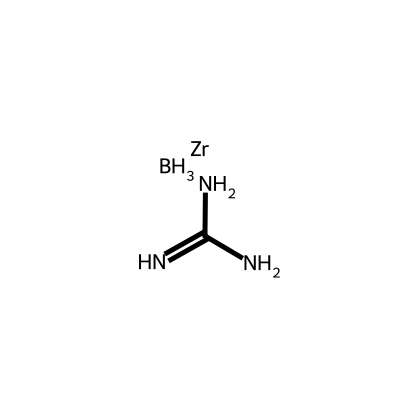 B.N=C(N)N.[Zr]